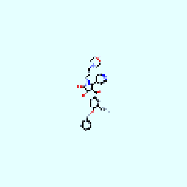 Cc1cc(C(=O)C2=C(O)C(=O)N(CCCN3CCOCC3)C2c2ccncc2)ccc1OCc1ccccc1